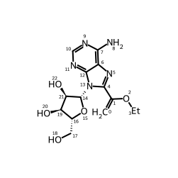 C=C(OCC)c1nc2c(N)ncnc2n1[C@@H]1O[C@H](CO)[C@@H](O)[C@H]1O